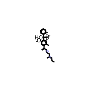 C=C(/C=C/C/C(C)=C/CC)c1cc(OC)c(C(O)(c2ccccc2)C(F)(F)F)cc1C